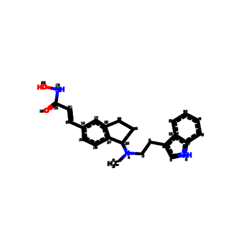 CN(CCc1c[nH]c2ccccc12)C1CCc2cc(C=CC(=O)NO)ccc21